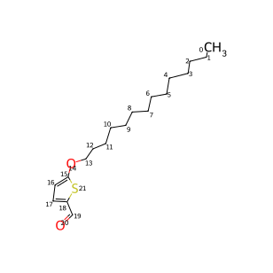 CCCCCCCCCCCCCCOc1ccc(C=O)s1